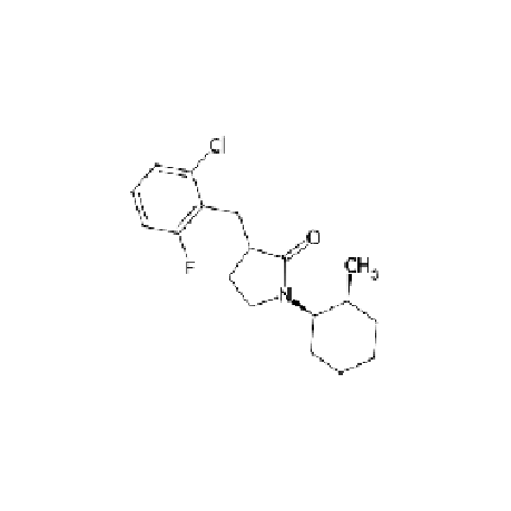 C[C@H]1CCCC[C@H]1N1CCC(Cc2c(F)cccc2Cl)C1=O